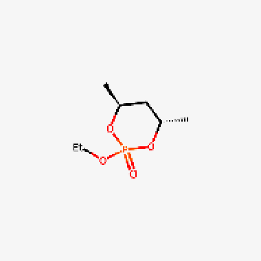 CCOP1(=O)O[C@@H](C)C[C@H](C)O1